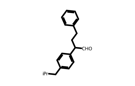 CC(C)Cc1ccc(C(C=O)CCc2ccccc2)cc1